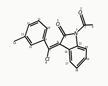 CC(=O)N1C(=O)C(=C(Cl)c2cccc(C)c2)c2ccccc21